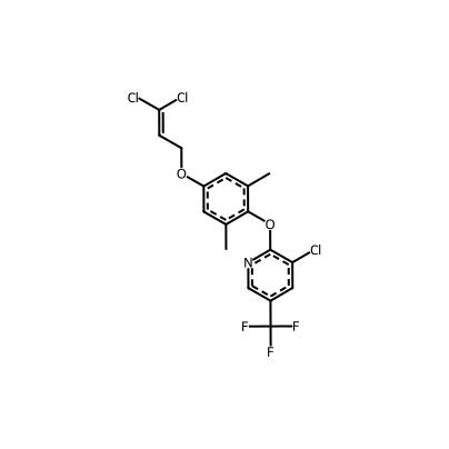 Cc1cc(OCC=C(Cl)Cl)cc(C)c1Oc1ncc(C(F)(F)F)cc1Cl